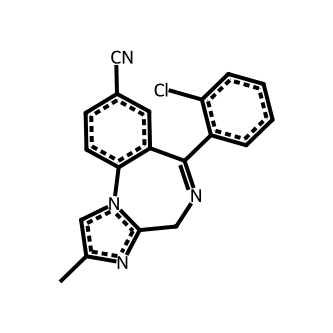 Cc1cn2c(n1)CN=C(c1ccccc1Cl)c1cc(C#N)ccc1-2